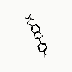 C[Si](C)(C)Oc1ccc2sc(-c3ccc(F)cc3)nc2c1